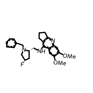 COc1cc2nc3c(c(NC[C@@H]4C[C@H](F)CN4Cc4ccccc4)c2cc1OC)CCC3